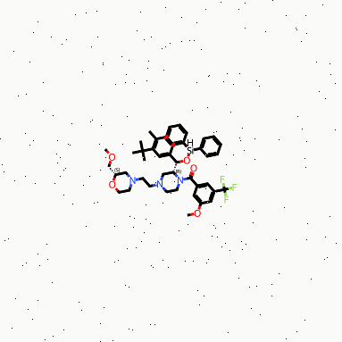 COC[C@@H]1CN(CCN2CCN(C(=O)c3cc(OC)cc(C(F)(F)F)c3)[C@@H](C(O[SiH](c3ccccc3)c3ccccc3)c3ccc(C)c(C(C)(C)C)c3)C2)CCO1